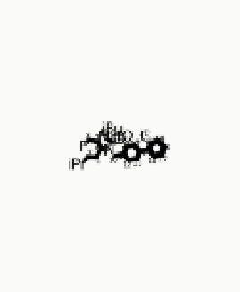 CCC(C)n1c(CF)c(CCC(C)C)n(Cc2ccc(-c3ccccc3C(=O)O)cc2)c1=O